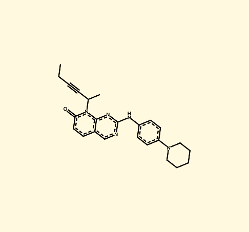 CCC#CC(C)n1c(=O)ccc2cnc(Nc3ccc(N4CCCCC4)cc3)nc21